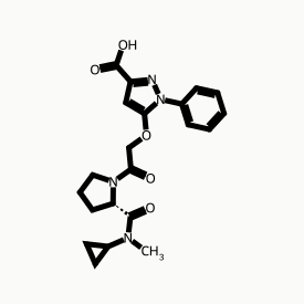 CN(C(=O)[C@@H]1CCCN1C(=O)COc1cc(C(=O)O)nn1-c1ccccc1)C1CC1